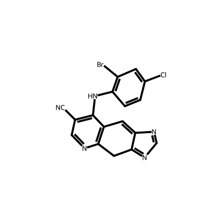 N#Cc1cnc2c(c1Nc1ccc(Cl)cc1Br)C=C1N=CN=C1C2